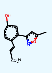 Cc1cc(-c2cc(O)ccc2C=CC(=O)O)no1